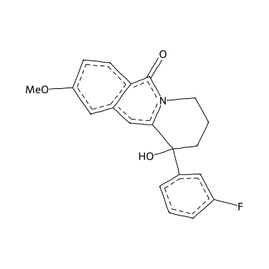 COc1ccc2c(=O)n3c(cc2c1)C(O)(c1cccc(F)c1)CCC3